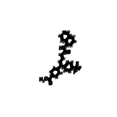 CC(=O)N1CC=C(C(=CC=CC(=O)Nc2cccc3cnccc23)c2ccc(C(F)(F)F)cc2)CC1